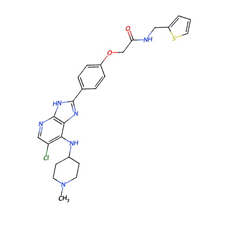 CN1CCC(Nc2c(Cl)cnc3[nH]c(-c4ccc(OCC(=O)NCc5cccs5)cc4)nc23)CC1